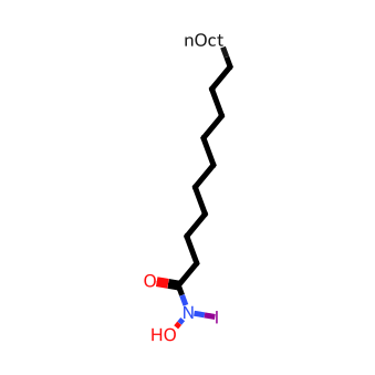 CCCCCCCCCCCCCCCCCC(=O)N(O)I